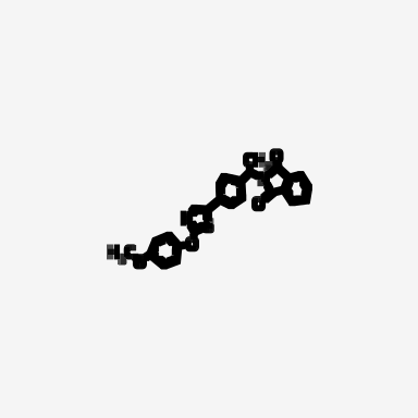 COc1ccc(Oc2ncc(-c3ccc(C(C)N4C(=O)c5ccccc5C4=O)cc3)s2)cc1